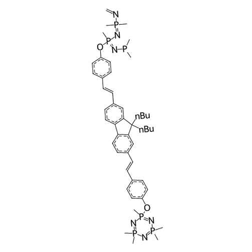 C=NP(C)(C)=NP(C)(=NP(C)C)Oc1ccc(/C=C/c2ccc3c(c2)C(CCCC)(CCCC)c2cc(/C=C/c4ccc(OP5(C)=NP(C)(C)=NP(C)(C)=N5)cc4)ccc2-3)cc1